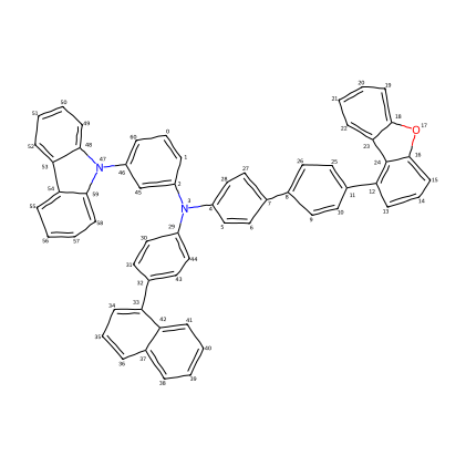 c1cc(N(c2ccc(-c3ccc(-c4cccc5oc6ccccc6c45)cc3)cc2)c2ccc(-c3cccc4ccccc34)cc2)cc(-n2c3ccccc3c3ccccc32)c1